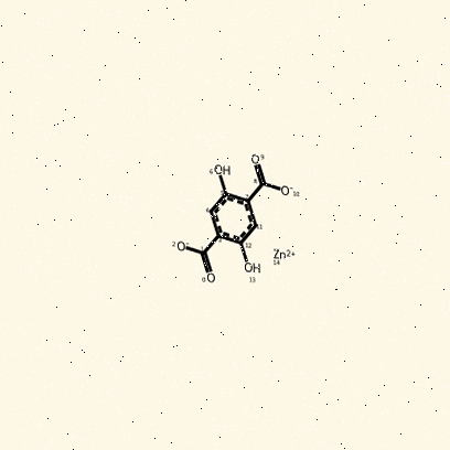 O=C([O-])c1cc(O)c(C(=O)[O-])cc1O.[Zn+2]